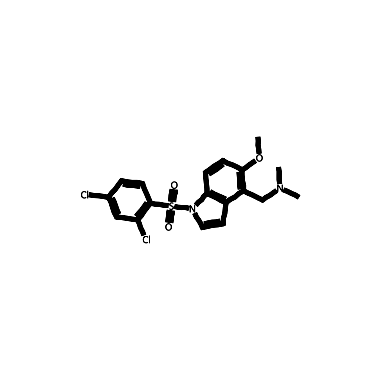 COc1ccc2c(ccn2S(=O)(=O)c2ccc(Cl)cc2Cl)c1CN(C)C